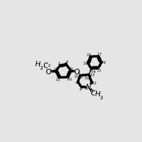 COc1ccc(O[C@H]2CCN(C)C[C@@H]2c2ccccc2)cc1